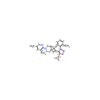 Cc1cnc(N2CCC3(C=C(c4c(-c5c(C)cccc5C)noc4C4CC4)C3)CC2)c(C)c1